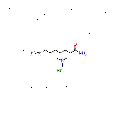 CCCCCCCCCCCCCCCC(N)=O.CN(C)C.Cl